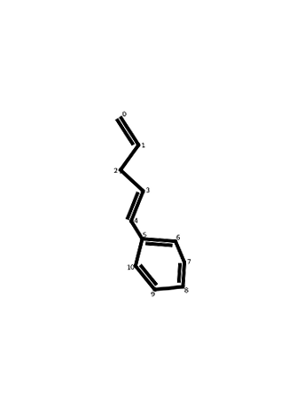 C=C[CH]/C=C/c1ccccc1